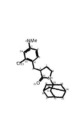 CNc1ccc(CC2CCN(C34CC5CC(CC(C5)C3)C4)C2=O)c(Cl)c1